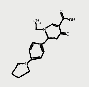 CCN1C=C(C(=O)O)C(=O)CC1c1ccc(N2CCCC2)cc1